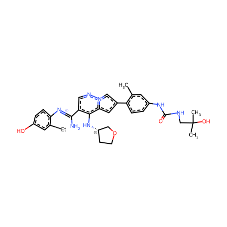 CCc1cc(O)ccc1/N=C(\N)c1cnn2cc(-c3ccc(NC(=O)NCC(C)(C)O)cc3C)cc2c1N[C@H]1CCOC1